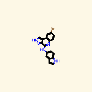 Brc1ccc2nc(Nc3ccc4[nH]ccc4c3)c3n[nH]cc3c2c1